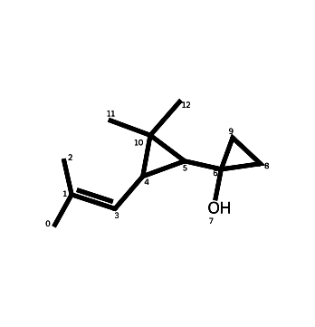 CC(C)=CC1C(C2(O)CC2)C1(C)C